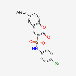 COc1ccc2oc(=O)c(S(=O)(=O)Nc3ccc(Br)cc3)cc2c1